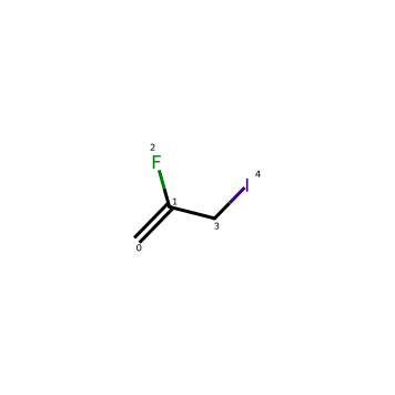 C=C(F)CI